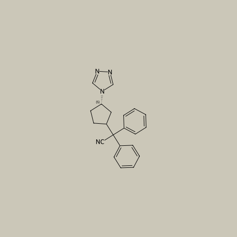 N#CC(c1ccccc1)(c1ccccc1)C1CC[C@H](n2cnnc2)C1